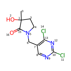 CC1(O)CCN(Cc2cnc(Cl)nc2Cl)C1=O